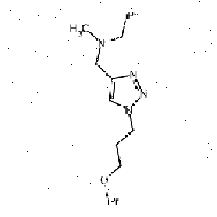 CC(C)CN(C)Cc1cn(CCCOC(C)C)nn1